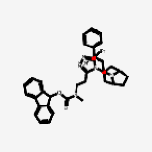 CC(C)c1nnc(CCN(C)C(=O)OC2c3ccccc3-c3ccccc32)n1C1CC2CCC(C1)N2CC[C@H](N)c1ccccc1